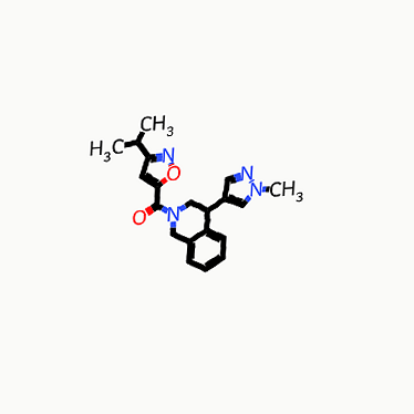 CC(C)c1cc(C(=O)N2Cc3ccccc3C(c3cnn(C)c3)C2)on1